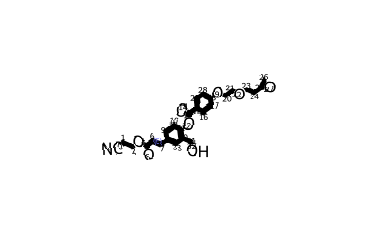 N#CCCOC(=O)/C=C/c1ccc(OC(=O)c2ccc(OCCOCCC3CO3)cc2)c(CO)c1